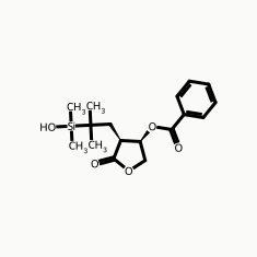 CC(C)(C[C@@H]1C(=O)OC[C@@H]1OC(=O)c1ccccc1)[Si](C)(C)O